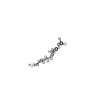 CNCCCCNC(=O)NCC(=O)NCC(=O)N1CC[C@H](NS(=O)(=O)c2ccc(O[C@@H]3CCc4c(C#N)cc(Cl)cc43)cc2)C1